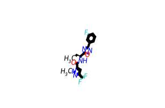 CC[C@H](NC(=O)c1cc(C(F)F)nn1C)c1nc(-c2cccc(F)c2)no1